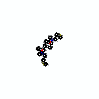 c1ccc(-c2ccc(N(c3cccc(-c4cccc5sc6ccccc6c45)c3)c3ccccc3-c3cccc4c(-c5ccc(-c6ccc(N(c7cccc(-c8ccc9sc%10ccccc%10c9c8)c7)c7ccccc7-c7cccc8ccccc78)cc6)cc5)cccc34)cc2)cc1